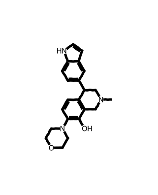 CN1Cc2c(ccc(N3CCOCC3)c2O)C(c2ccc3[nH]ccc3c2)C1